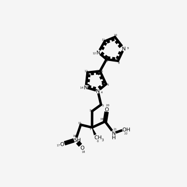 C[C@](CCn1cc(-c2cnccn2)cn1)(C[SH](=O)=O)C(=O)NO